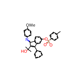 COc1ccc(N=C2C(C(C)(C)O)=C(c3ccccc3)c3cc(OS(=O)(=O)c4ccc(C)cc4)ccc32)cc1